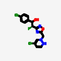 OC(c1ccc(Cl)cc1)[C@@H](F)c1noc(CN2C=C(Cl)C=CN2)n1